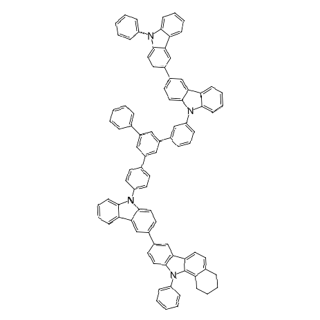 c1ccc(-c2cc(-c3ccc(-n4c5ccccc5c5cc(-c6ccc7c(c6)c6ccc8c(c6n7-c6ccccc6)CCCC8)ccc54)cc3)cc(-c3cccc(-n4c5ccccc5c5cc(-c6ccc7c(c6)c6ccccc6n7-c6ccccc6)ccc54)c3)c2)cc1